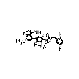 CC1CN(Cc2cc(F)ccc2F)C(=O)N1c1ccc(-c2cn(C)c3ncnc(N)c23)c(F)c1